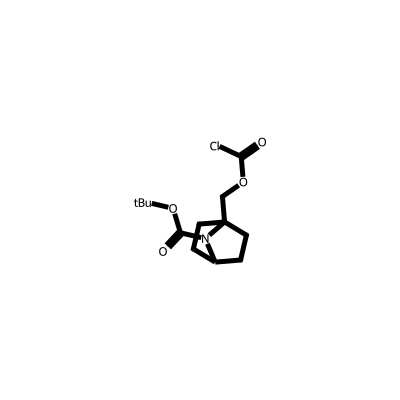 CC(C)(C)OC(=O)N1C2CCC1(COC(=O)Cl)CC2